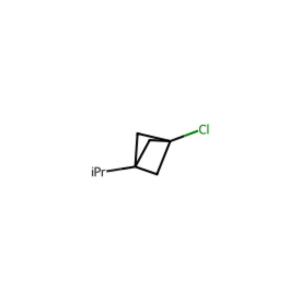 CC(C)C12CC(Cl)(C1)C2